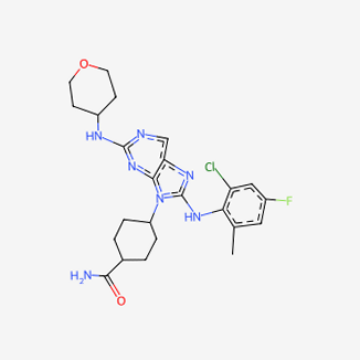 Cc1cc(F)cc(Cl)c1Nc1nc2cnc(NC3CCOCC3)nc2n1C1CCC(C(N)=O)CC1